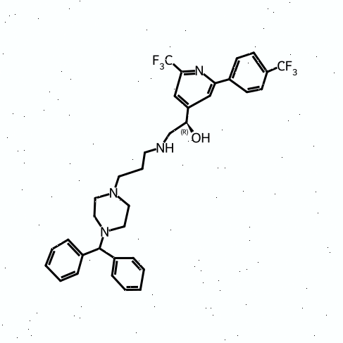 O[C@@H](CNCCCN1CCN(C(c2ccccc2)c2ccccc2)CC1)c1cc(-c2ccc(C(F)(F)F)cc2)nc(C(F)(F)F)c1